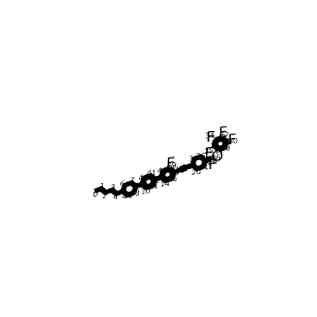 CCCCCC1CCC(c2ccc(-c3ccc(C#CC4CCC(C(F)(F)Oc5cc(F)c(F)c(F)c5)CC4)c(F)c3)cc2)CC1